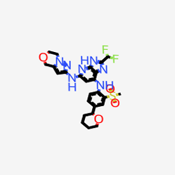 CS(=O)(=O)c1cc(C2CCCCO2)ccc1Nc1cc(Nc2cc3n(n2)CCOC3)nc2[nH]c(C(F)F)nc12